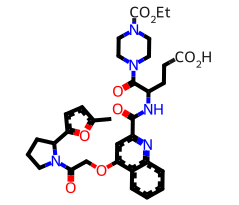 CCOC(=O)N1CCN(C(=O)C(CCC(=O)O)NC(=O)c2cc(OCC(=O)N3CCCC3c3ccc(C)o3)c3ccccc3n2)CC1